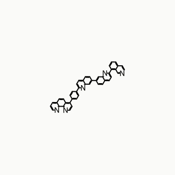 c1cc(-c2ccc3ccc(-c4ccc5ccc(-c6ccc(-c7ccnc8c7ccc7cccnc78)cc6)nc5c4)cc3n2)c2cnccc2c1